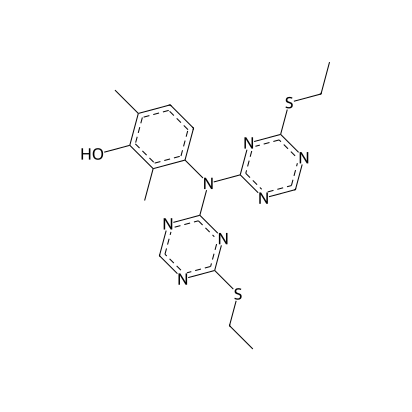 CCSc1ncnc(N(c2ncnc(SCC)n2)c2ccc(C)c(O)c2C)n1